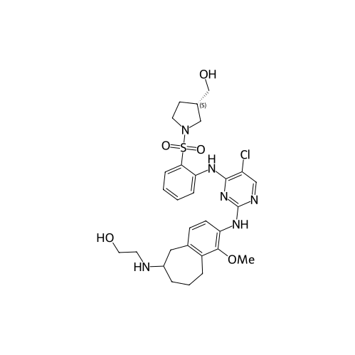 COc1c(Nc2ncc(Cl)c(Nc3ccccc3S(=O)(=O)N3CC[C@H](CO)C3)n2)ccc2c1CCCC(NCCO)C2